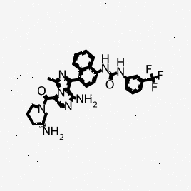 Cc1nc(-c2ccc(NC(=O)Nc3cccc(C(F)(F)F)c3)c3ccccc23)c2c(N)ncc(C(=O)N3CCC[C@H](N)C3)n12